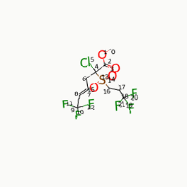 COC(=O)C(Cl)(CC=CC(F)(F)F)S(=O)(=O)CCC(F)(F)F